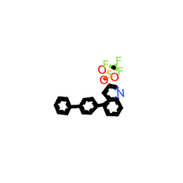 O=S(=O)(Oc1cnc2cccc(-c3ccc(-c4ccccc4)cc3)c2c1)C(F)(F)F